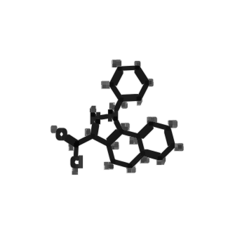 O=C(Cl)c1nn(-c2ccccc2)c2c1CCc1ccccc1-2